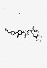 CN(C)CCSN(CC1CN(c2ccc(N3CCC(=CC#N)CC3)c(F)c2)C(=O)O1)C(N)=O